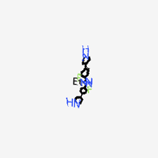 CCn1c(-c2ccc(C3=CCNCC3)cc2F)nnc1-c1ccc(C2=CCNCC2)cc1F